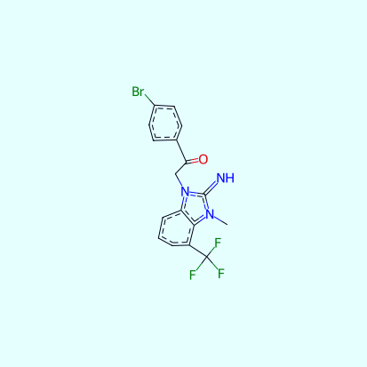 Cn1c(=N)n(CC(=O)c2ccc(Br)cc2)c2cccc(C(F)(F)F)c21